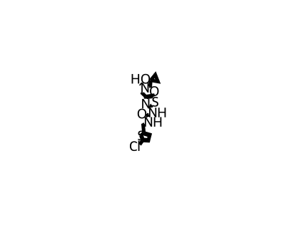 CN(Cc1csc(NC(=O)NCc2ccc(Cl)s2)n1)C(=O)C1(O)CC1